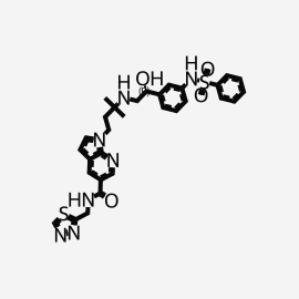 CC(C)(CCn1ccc2cc(C(=O)NCc3nncs3)cnc21)NC[C@H](O)c1cccc(NS(=O)(=O)c2ccccc2)c1